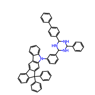 c1ccc(-c2ccc(C3NC(c4ccccc4)NC(c4cccc(-n5c6ccccc6c6cc7c(cc65)C(c5ccccc5)(c5ccccc5)c5ccccc5-7)c4)N3)cc2)cc1